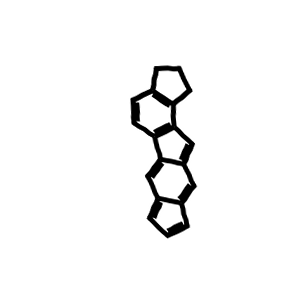 C1=Cc2cc3c(cc2=C1)-c1ccc2c(c1C=3)CCC2